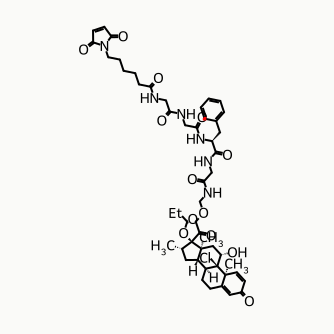 CCC(=O)O[C@]1(C(=O)COCNC(=O)CNC(=O)[C@H](Cc2ccccc2)NC(=O)CNC(=O)CNC(=O)CCCCCN2C(=O)C=CC2=O)[C@@H](C)C[C@H]2[C@@H]3CCC4=CC(=O)C=C[C@]4(C)[C@@]3(Cl)[C@@H](O)C[C@@]21C